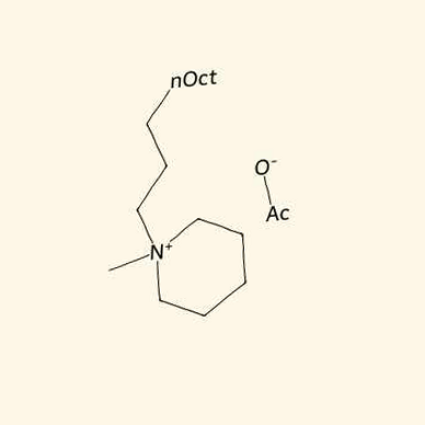 CC(=O)[O-].CCCCCCCCCCC[N+]1(C)CCCCC1